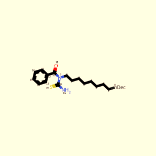 CCCCCCCCCCCCCCCCCCN(C(=O)c1ccccc1)C(N)=S